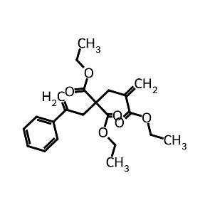 C=C(CC(CC(=C)c1ccccc1)(C(=O)OCC)C(=O)OCC)C(=O)OCC